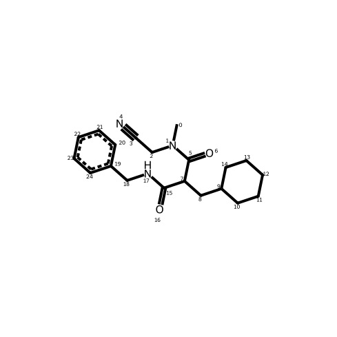 CN(CC#N)C(=O)C(CC1CCCCC1)C(=O)NCc1ccccc1